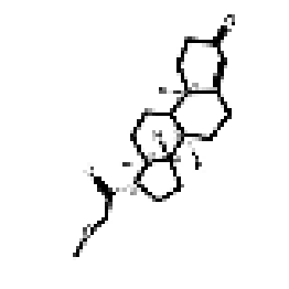 COCC(=O)[C@H]1CC[C@H]2[C@@H]3CCC4=CC(=O)CC[C@]4(C)C3CC[C@]12C